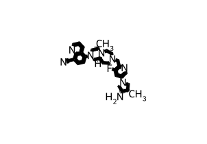 CC1CN(c2cnc(CN3CC[C@H]4CN(c5ccc(C#N)c6ncccc56)C[C@@H](C)N4CC3)c(F)c2)C[C@H]1N